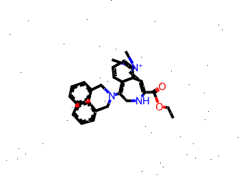 CCOC(=O)C1=CC23CC[N+](C)(C)C2=CC=CC3=C(N(Cc2ccccc2)Cc2ccccc2)CN1